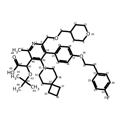 Cc1nc(COCC2CCOCC2)c(-c2ccc(OCCc3ccc(F)cc3)cc2)c(N2CCC3(CCC3)CC2)c1C(OC(C)(C)C)C(=O)O